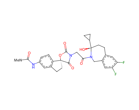 CNC(=O)Nc1ccc2c(c1)CC[C@@]21OC(=O)N(CC(=O)N2Cc3cc(F)c(F)cc3CC[C@@]2(O)C2CC2)C1=O